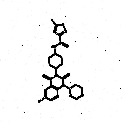 Cc1cc(C(=O)N[C@H]2CC[C@@H](n3c(=O)c4cc(F)cnc4n(C4CCSCC4)c3=O)CC2)no1